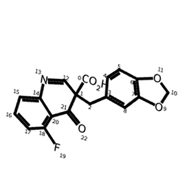 O=C(O)C1(Cc2ccc3c(c2)OCO3)C=Nc2cccc(F)c2C1=O